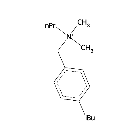 CCC[N+](C)(C)Cc1ccc(C(C)CC)cc1